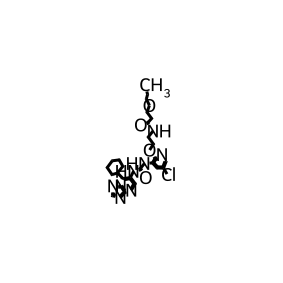 CCCOCCC(=O)NCCOc1ncc(Cl)cc1NC(=O)Nc1cnc2ncnn2c1C1CCCCC1